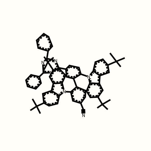 CC(C)(C)c1ccc2c(c1)c1cc(C(C)(C)C)ccc1n2-c1ccc(-c2nc(-c3ccccc3)nc(-c3ccccc3)n2)cc1-c1ccc(C#N)cc1-n1c2ccc(C(C)(C)C)cc2c2cc(C(C)(C)C)ccc21